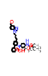 CC(C)(C)OC(=O)NC1CCC(N(C(=O)O)c2cc(CCCCn3cnc4cc(C=O)ccc43)ccc2-c2ccccc2)CC1